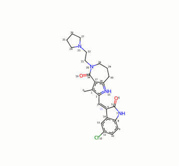 Cc1c(/C=C2\C(=O)Nc3ccc(Cl)cc32)[nH]c2c1C(=O)N(CCN1CCCC1)CCC2